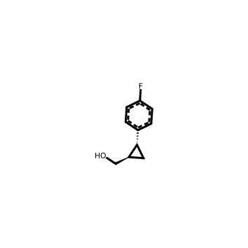 OC[C@@H]1C[C@H]1c1ccc(F)cc1